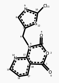 O=c1oc(=O)n(Cc2cnc(Cl)s2)c2ncccc12